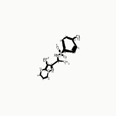 CCc1c(C(C)NS(=O)(=O)c2ccc(Cl)cc2)nn2c1OCCC2